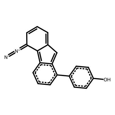 [N-]=[N+]=C1C=CC=C2C=c3c(-c4ccc(O)cc4)cccc3=C21